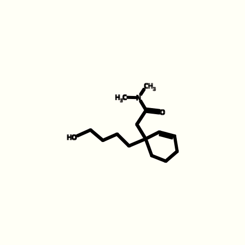 CN(C)C(=O)CC1(CCCCO)C=CCCC1